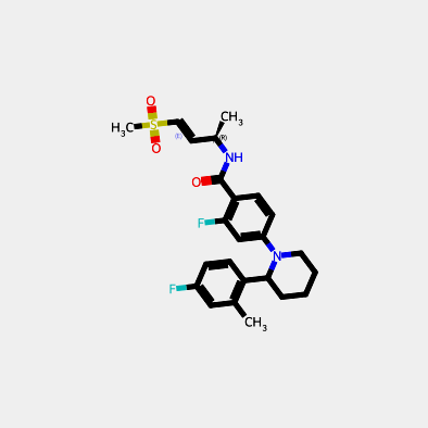 Cc1cc(F)ccc1C1CCCCN1c1ccc(C(=O)N[C@H](C)/C=C/S(C)(=O)=O)c(F)c1